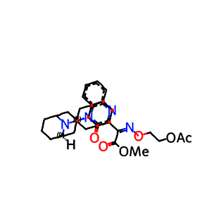 COC(=O)C(=NOCCOC(C)=O)c1nc2ccccc2n([C@@H]2CC3CCC[C@H](C2)N3C2CC3CCCC(C3)C2)c1=O